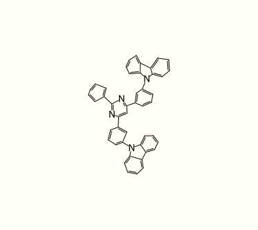 c1ccc(-c2nc(-c3cccc(-n4c5ccccc5c5ccccc54)c3)cc(-c3cccc(-n4c5ccccc5c5ccccc54)c3)n2)cc1